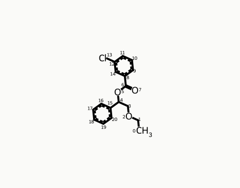 CCOCC(OC(=O)c1cccc(Cl)c1)c1ccccc1